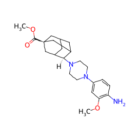 COc1cc(N2CCN([C@H]3C4CC5CC3C[C@@](C(=O)OC)(C5)C4)CC2)ccc1N